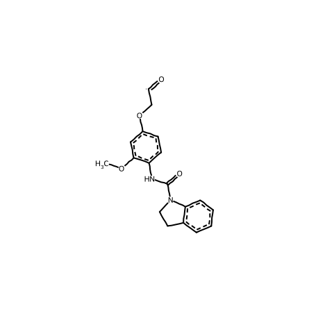 COc1cc(OC[C]=O)ccc1NC(=O)N1CCc2ccccc21